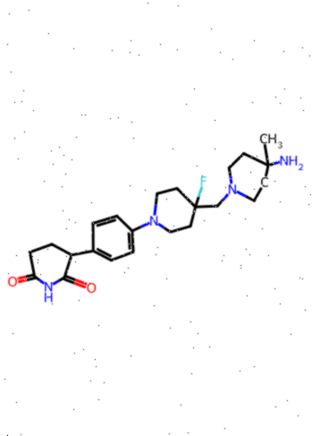 CC1(N)CCN(CC2(F)CCN(c3ccc(C4CCC(=O)NC4=O)cc3)CC2)CC1